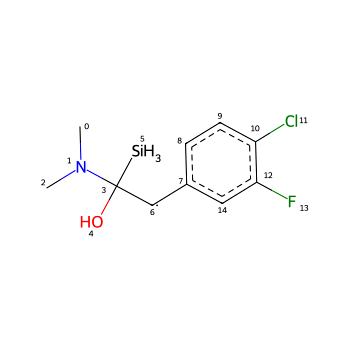 CN(C)C(O)([SiH3])[CH]c1ccc(Cl)c(F)c1